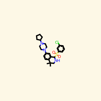 CC1(C)CNC(S(=O)(=O)c2cccc(Cl)c2)c2cc(N3CCN(C4CCCC4)CC3)ccc21